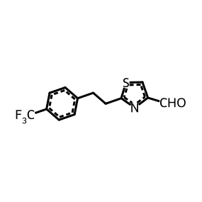 O=Cc1csc(CCc2ccc(C(F)(F)F)cc2)n1